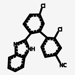 [C-]#[N+]c1ccc(-c2cc(Cl)ccc2-c2nc3ccccc3[nH]2)c(Cl)c1